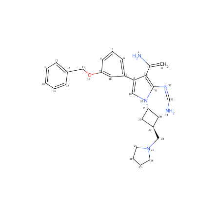 C=C(N)c1c(-c2cccc(OCc3ccccc3)c2)cn([C@H]2C[C@H](CN3CCCC3)C2)c1/N=C\N